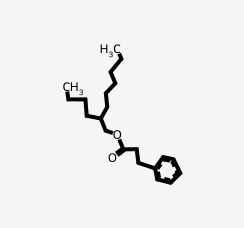 CCCCCCC(CCCC)COC(=O)CCc1ccccc1